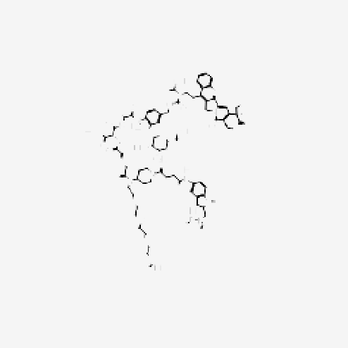 CC[C@@]1(O)C(=O)OCc2c1cc1n(c2=O)Cc2c-1nc1ccccc1c2CCN(C(=O)OCc1ccc(NC(=O)[C@H](C)NC(=O)[C@@H](NC(=O)COCC(=O)N(CCOCCOCCOCCOC)C2CCN(C(=O)CCC(=O)Nc3ccc4c(c3)CC(CN(C)NC)N4C)CC2)C(C)C)c(O[C@@H]2O[C@H](C(=O)O)[C@@H](O)[C@H](O)[C@H]2O)c1)C(C)C